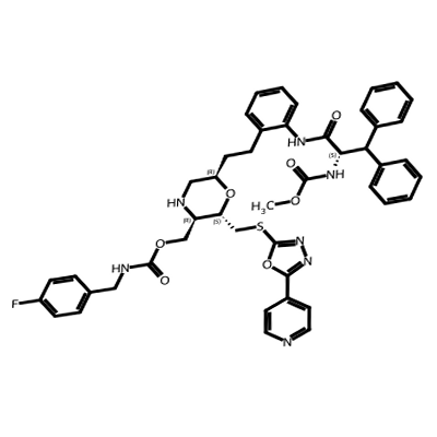 COC(=O)N[C@H](C(=O)Nc1ccccc1CC[C@@H]1CN[C@H](COC(=O)NCc2ccc(F)cc2)[C@@H](CSc2nnc(-c3ccncc3)o2)O1)C(c1ccccc1)c1ccccc1